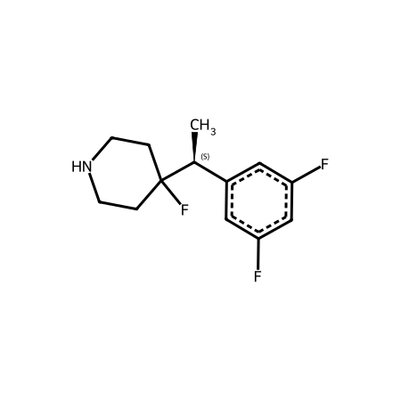 C[C@@H](c1cc(F)cc(F)c1)C1(F)CCNCC1